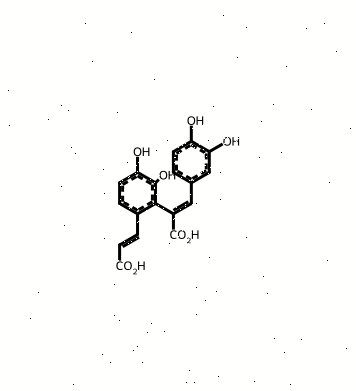 O=C(O)/C=C/c1ccc(O)c(O)c1/C(=C\c1ccc(O)c(O)c1)C(=O)O